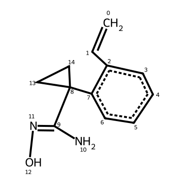 C=Cc1ccccc1C1(/C(N)=N/O)CC1